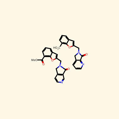 COC(=O)c1cccc2cc(CN3Cc4ccncc4C3=O)oc12.O=C(O)c1cccc2cc(CN3Cc4cccnc4C3=O)oc12